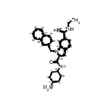 CCNC(=N)c1ccc2cc(C(=O)NC3CCC(N)CC3)n(Cc3ccc4ccccc4c3)c2c1